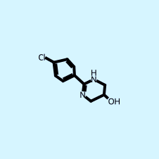 OC1CN=C(c2ccc(Cl)cc2)NC1